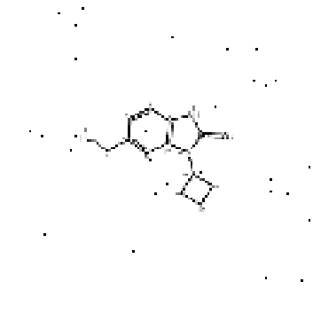 O=c1[nH]c2ccc(CO)cc2n1C1CCC1